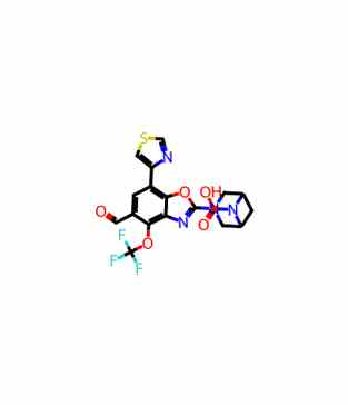 O=Cc1cc(-c2cscn2)c2oc(N3CC4CC(C3)N4C(=O)O)nc2c1OC(F)(F)F